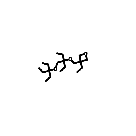 CCC1(COC(CC)(CC)COC(CC)(CC)CC)COC1